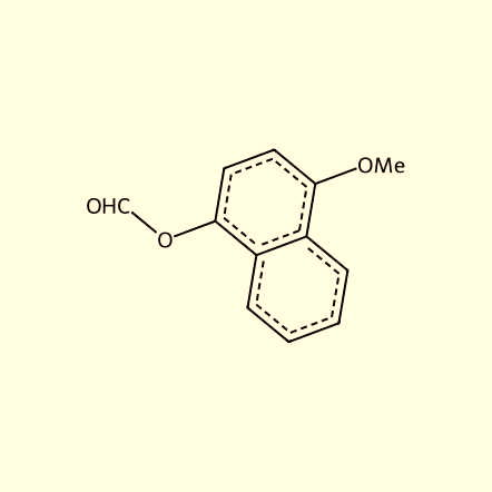 COc1ccc(OC=O)c2ccccc12